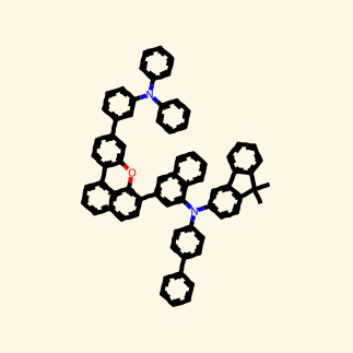 CC1(C)c2ccccc2-c2cc(N(c3ccc(-c4ccccc4)cc3)c3cc(-c4ccc5cccc6c5c4Oc4cc(-c5cccc(N(c7ccccc7)c7ccccc7)c5)ccc4-6)cc4ccccc34)ccc21